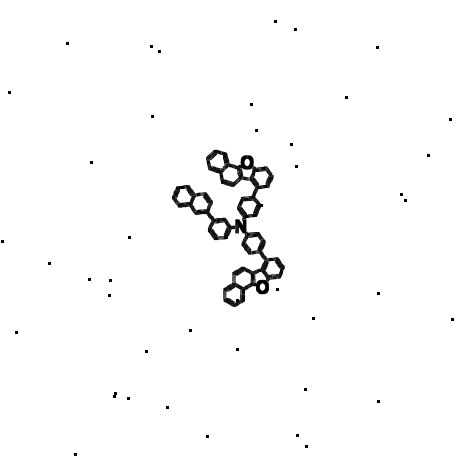 c1cc(-c2ccc3ccccc3c2)cc(N(c2ccc(-c3cccc4oc5c6ccccc6ccc5c34)cc2)c2ccc(-c3cccc4oc5c6ccccc6ccc5c34)cc2)c1